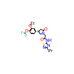 CCOc1cc([C@@H]2CC(=O)N(CC(=O)Nc3nc(C(C)C)ns3)C2)ccc1OC(F)F